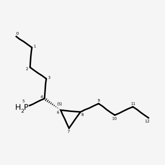 CCCCC(P)[C@H]1CC1CCCC